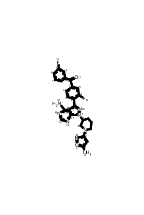 Cc1[c]c(N2CCCC(n3nc(-c4ccc(C(=O)c5cccc(F)c5)cc4F)c4c(N)ncnc43)C2)no1